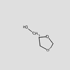 C1COCO1.CO